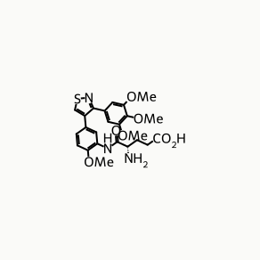 COc1ccc(-c2csnc2-c2cc(OC)c(OC)c(OC)c2)cc1NC(=O)[C@@H](N)CCC(=O)O